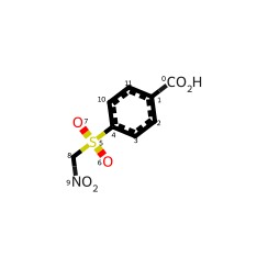 O=C(O)c1ccc(S(=O)(=O)C[N+](=O)[O-])cc1